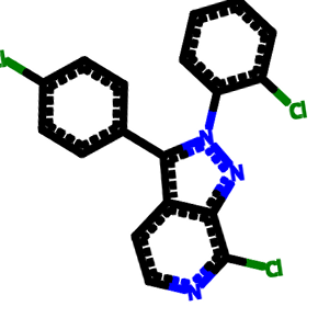 Clc1ccc(-c2c3ccnc(Cl)c3nn2-c2ccccc2Cl)cc1